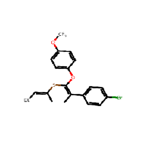 CC/C=C(\C)S/C(Oc1ccc(OC(F)(F)F)cc1)=C(\C)c1ccc(Br)cc1